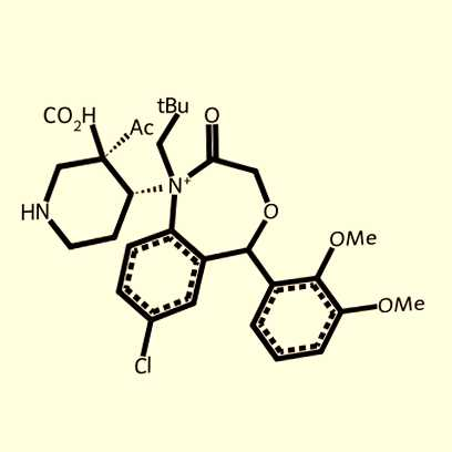 COc1cccc(C2OCC(=O)[N+](CC(C)(C)C)([C@@H]3CCNC[C@@]3(C(C)=O)C(=O)O)c3ccc(Cl)cc32)c1OC